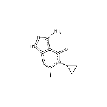 Cc1cc2[nH]nc(N)c2c(=O)n1C1CC1